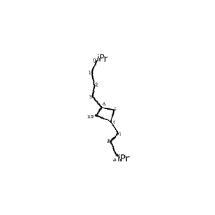 CC(C)CCCC1CC(CCC(C)C)C1